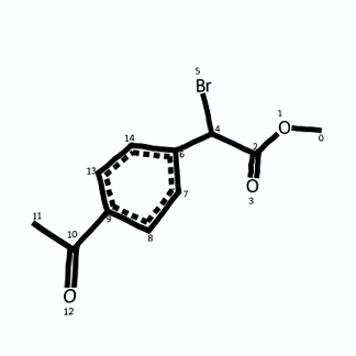 COC(=O)C(Br)c1ccc(C(C)=O)cc1